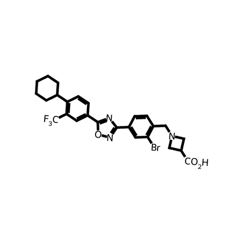 O=C(O)C1CN(Cc2ccc(-c3noc(-c4ccc(C5CCCCC5)c(C(F)(F)F)c4)n3)cc2Br)C1